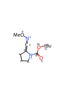 CON=C=C1CCCN1C(=O)OC(C)(C)C